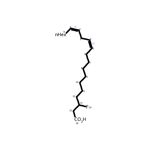 CCCCCC/C=C\C/C=C\CCCCCCCC(F)CC(=O)O